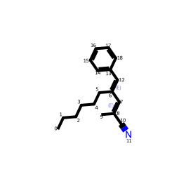 CCCCCCC(/C=C(\C)C#N)=C\c1ccccc1